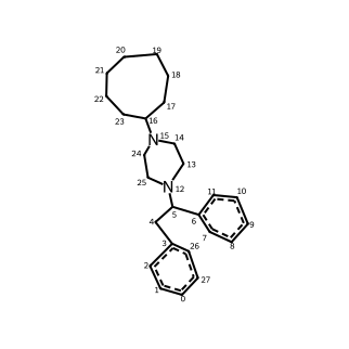 c1ccc(CC(c2ccccc2)N2CCN(C3CCCCCCC3)CC2)cc1